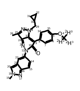 [2H]C([2H])([2H])Oc1ccc(-c2c(=O)n(-c3ccc4nn(C)cc4c3)nc3c(C)nn(CC4CC4)c23)cc1